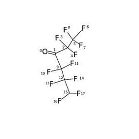 O=C(C(F)(F)C(F)(F)F)C(F)(F)C(F)(F)C(F)F